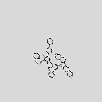 Cc1c(-c2ccc(-c3ccccc3)cc2)nc(-c2cc(-n3c4cc5ccccc5cc4c4ccc5ccccc5c43)cc3c2oc2ccccc23)nc1-c1cccc2ccccc12